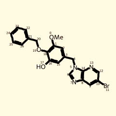 COc1cc(Cn2cnc3cc(Br)cnc32)cc(O)c1OCc1ccccc1